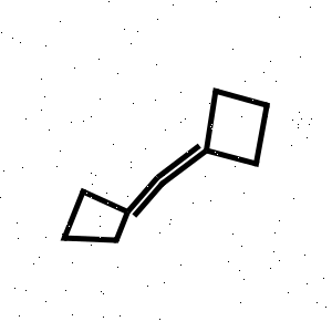 C(=C1CCC1)=C1CCC1